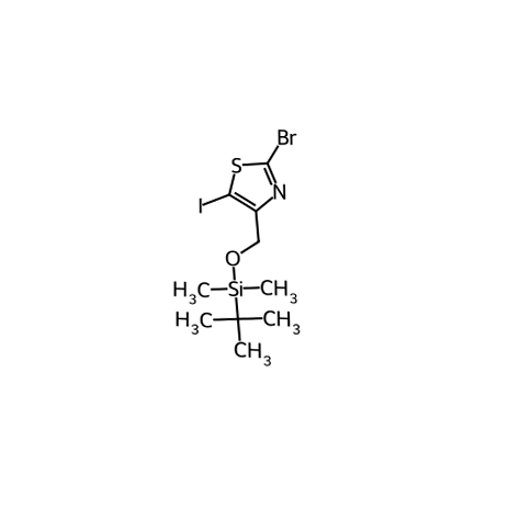 CC(C)(C)[Si](C)(C)OCc1nc(Br)sc1I